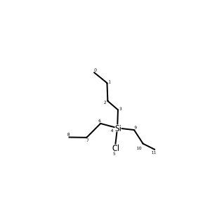 CCCC[Si](Cl)(CCC)CCC